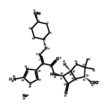 CC(=O)O[C@H]1CC[C@H](O/N=C(\C(=O)N[C@@H]2C(=O)N3[C@@H]2SC(C)(C)[C@@H]3C(=O)[O-])c2csc(N)n2)CC1.[Na+]